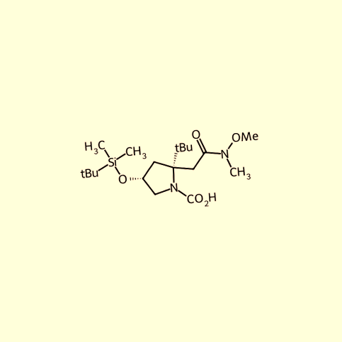 CON(C)C(=O)C[C@]1(C(C)(C)C)C[C@@H](O[Si](C)(C)C(C)(C)C)CN1C(=O)O